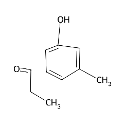 CCC=O.Cc1cccc(O)c1